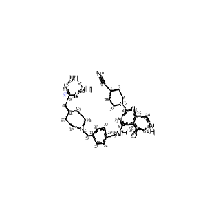 N#CC1CCN(c2nc(Nc3ccc(CN4CCC(C/C(N=N)=N/N)CC4)cc3)c3c(=O)[nH]ncc3n2)CC1